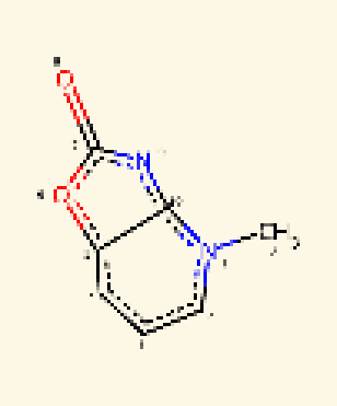 Cn1cccc2oc(=O)nc1-2